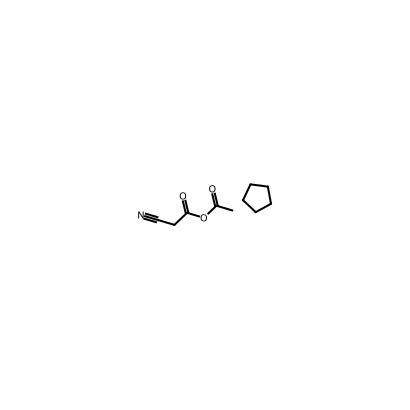 C1CCCC1.CC(=O)OC(=O)CC#N